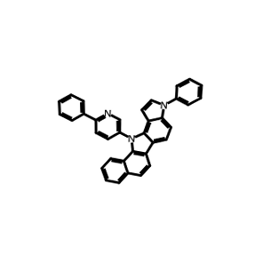 c1ccc(-c2ccc(-n3c4c5ccccc5ccc4c4ccc5c(ccn5-c5ccccc5)c43)cn2)cc1